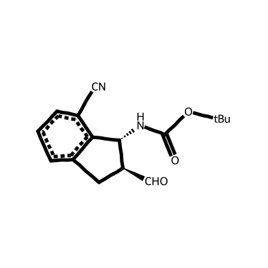 CC(C)(C)OC(=O)N[C@H]1c2c(C#N)cccc2C[C@@H]1C=O